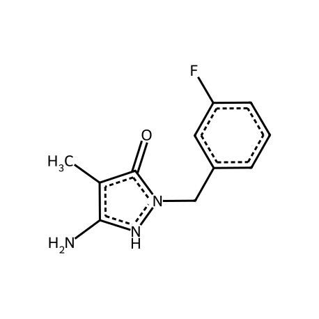 Cc1c(N)[nH]n(Cc2cccc(F)c2)c1=O